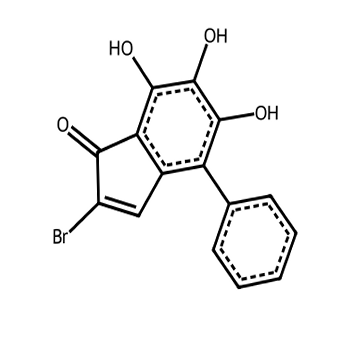 O=C1C(Br)=Cc2c1c(O)c(O)c(O)c2-c1ccccc1